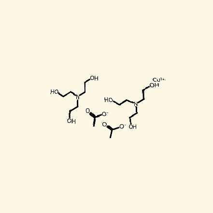 CC(=O)[O-].CC(=O)[O-].OCCN(CCO)CCO.OCCN(CCO)CCO.[Cu+2]